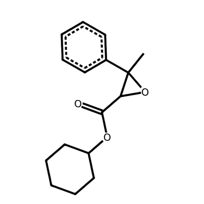 CC1(c2ccccc2)OC1C(=O)OC1CCCCC1